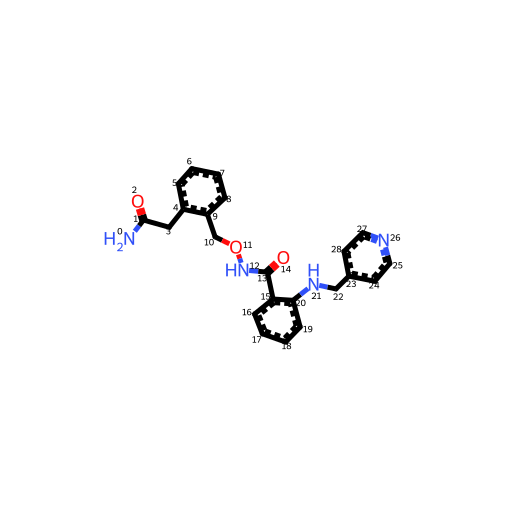 NC(=O)Cc1ccccc1CONC(=O)c1ccccc1NCc1ccncc1